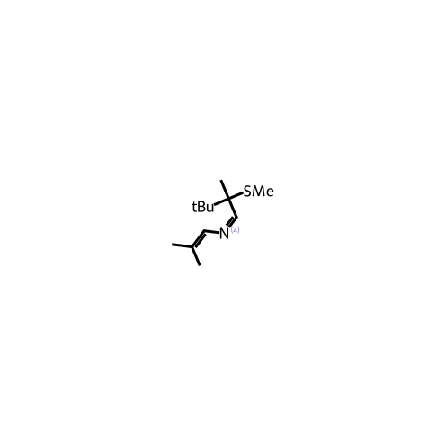 CSC(C)(/C=N\C=C(C)C)C(C)(C)C